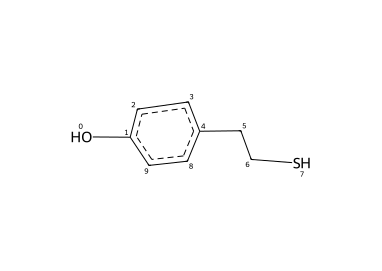 Oc1ccc(CCS)cc1